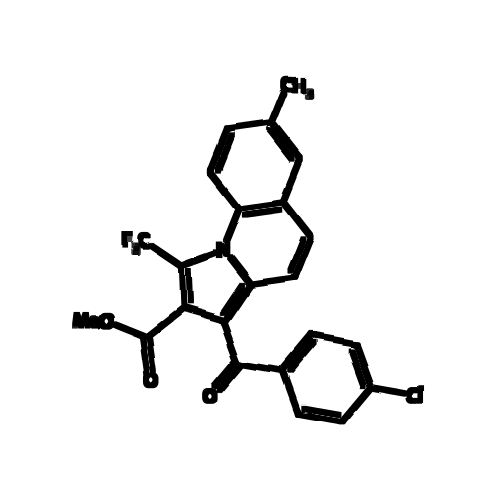 COC(=O)c1c(C(=O)c2ccc(Cl)cc2)c2ccc3cc(C)ccc3n2c1C(F)(F)F